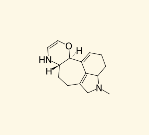 CN1CC2=C3C(=CCCC31)[C@@H]1OC=CN[C@H]1CC2